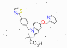 CC(C)(Cc1cc2cc(OCc3ccccn3)ccc2n1Cc1ccc(-c2nccs2)cc1)C(=O)O